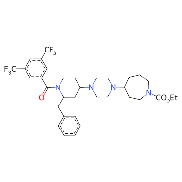 CCOC(=O)N1CCCC(N2CCN(C3CCN(C(=O)c4cc(C(F)(F)F)cc(C(F)(F)F)c4)C(Cc4ccccc4)C3)CC2)CC1